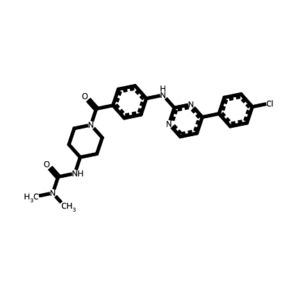 CN(C)C(=O)NC1CCN(C(=O)c2ccc(Nc3nccc(-c4ccc(Cl)cc4)n3)cc2)CC1